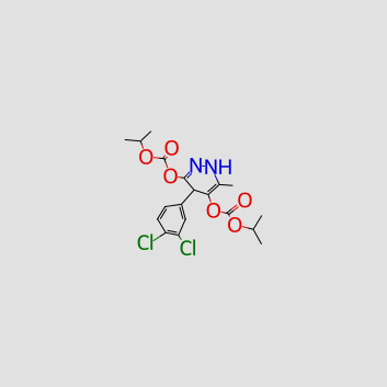 CC1=C(OC(=O)OC(C)C)C(c2ccc(Cl)c(Cl)c2)C(OC(=O)OC(C)C)=NN1